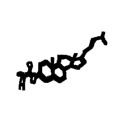 CNC(=O)O[C@H]1CC[C@@]2(C)C(=CCC3C4CCC(CCCC(C)C)[C@@]4(C)CCC32)C1